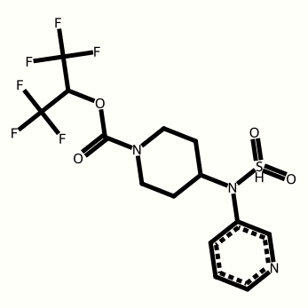 O=C(OC(C(F)(F)F)C(F)(F)F)N1CCC(N(c2cccnc2)[SH](=O)=O)CC1